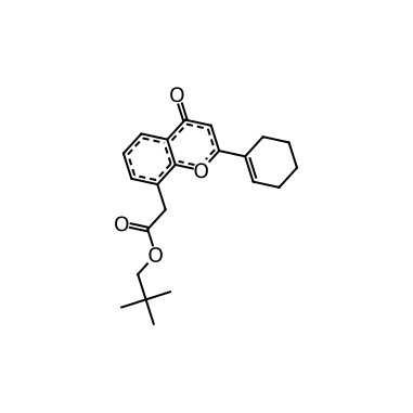 CC(C)(C)COC(=O)Cc1cccc2c(=O)cc(C3=CCCCC3)oc12